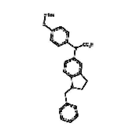 CCCCCCOc1ccc(N(C(=O)O)c2ccc3c(c2)CCN3Cc2ccccc2)cc1